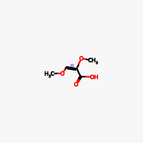 CO/C=C(/OC)C(=O)O